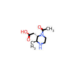 CC(=O)N1CCN[C@@H](C)[C@@H]1CC(=O)O